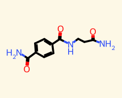 NC(=O)CCNC(=O)c1ccc(C(N)=O)cc1